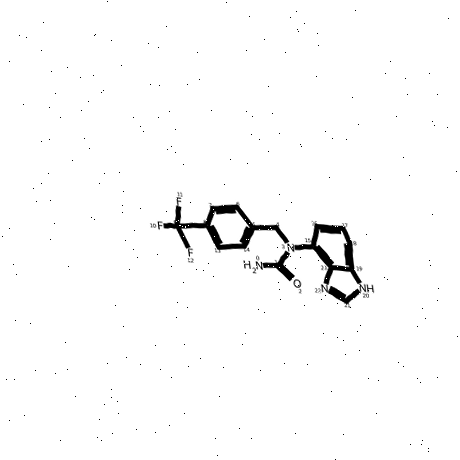 NC(=O)N(Cc1ccc(C(F)(F)F)cc1)c1cccc2[nH]cnc12